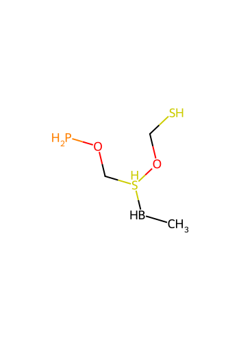 CB[SH](COP)OCS